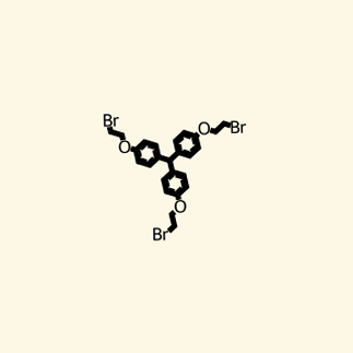 BrCCOc1ccc(C(c2ccc(OCCBr)cc2)c2ccc(OCCBr)cc2)cc1